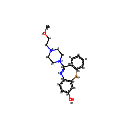 [CH2]COCCN1CCN(C2=Nc3ccc(O)cc3Sc3ccccc32)CC1